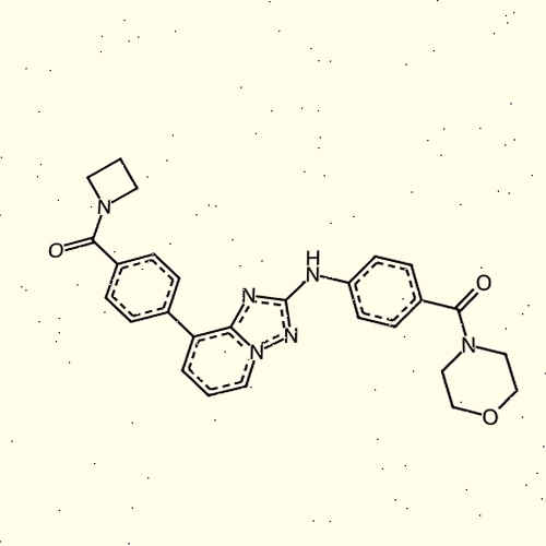 O=C(c1ccc(-c2cccn3nc(Nc4ccc(C(=O)N5CCOCC5)cc4)nc23)cc1)N1CCC1